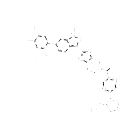 CCc1cc(O)c(F)cc1-c1ccc2c(-c3nc4c([nH]3)CCN(C(=O)c3cnc(N5CCCC5CO)cn3)C4)n[nH]c2c1